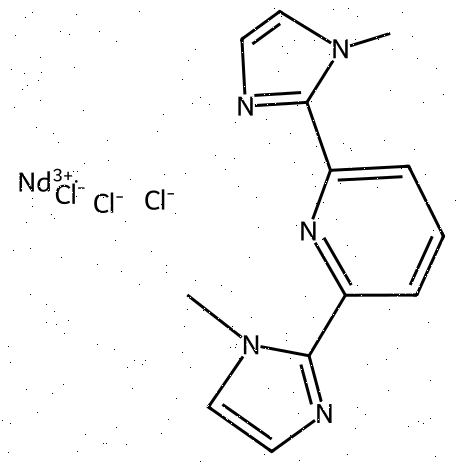 Cn1ccnc1-c1cccc(-c2nccn2C)n1.[Cl-].[Cl-].[Cl-].[Nd+3]